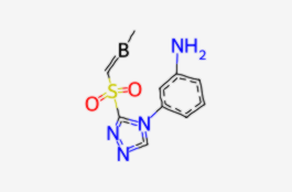 CB=CS(=O)(=O)c1nncn1-c1cccc(N)c1